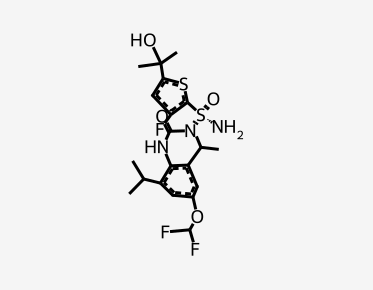 CC(C)c1cc(OC(F)F)cc(C(C)C)c1NC(=O)N=[S@](N)(=O)c1sc(C(C)(C)O)cc1F